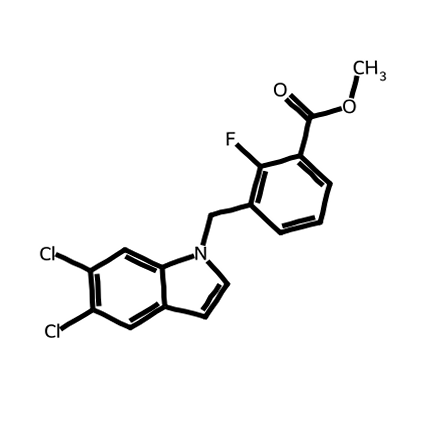 COC(=O)c1cccc(Cn2ccc3cc(Cl)c(Cl)cc32)c1F